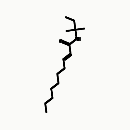 CCCCCCC/C=C/C(=O)NC(C)(C)CC